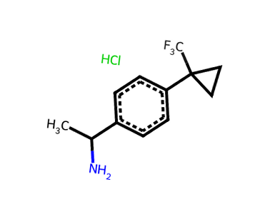 CC(N)c1ccc(C2(C(F)(F)F)CC2)cc1.Cl